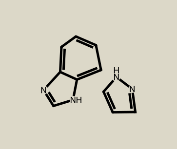 c1ccc2[nH]cnc2c1.c1cn[nH]c1